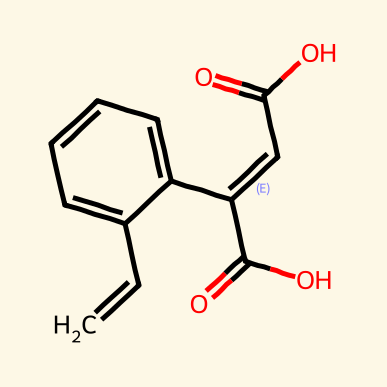 C=Cc1ccccc1/C(=C\C(=O)O)C(=O)O